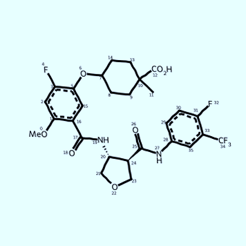 COc1cc(F)c(OC2CCC(C)(C(=O)O)CC2)cc1C(=O)N[C@H]1COC[C@@H]1C(=O)Nc1ccc(F)c(C(F)(F)F)c1